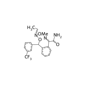 CC=NOC(c1cccc(C(F)(F)F)c1)c1ccccc1C(=NOC)C(N)=O